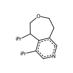 CC(C)c1cncc2c1C(C(C)C)COCC2